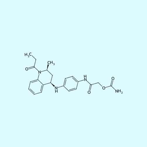 CCC(=O)N1c2ccccc2[C@H](Nc2ccc(NC(=O)COC(N)=O)cc2)C[C@@H]1C